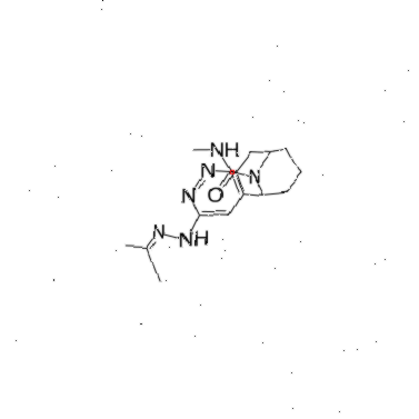 CNC(=O)N1C2CCCC1c1cc(NN=C(C)C)nnc1C2